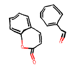 O=Cc1ccccc1.O=c1ccc2ccccc2o1